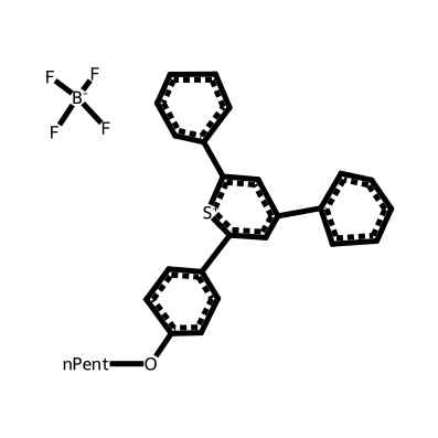 CCCCCOc1ccc(-c2cc(-c3ccccc3)cc(-c3ccccc3)[s+]2)cc1.F[B-](F)(F)F